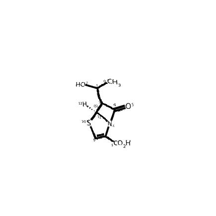 CC(O)C1C(=O)N2C(C(=O)O)=CS[C@@H]12